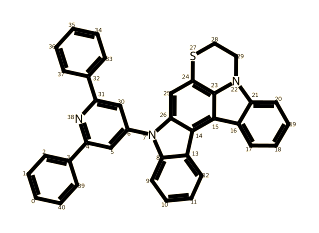 c1ccc(-c2cc(-n3c4ccccc4c4c5c6ccccc6n6c5c(cc43)SCC6)cc(-c3ccccc3)n2)cc1